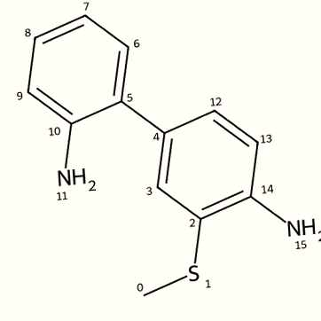 CSc1cc(-c2ccccc2N)ccc1N